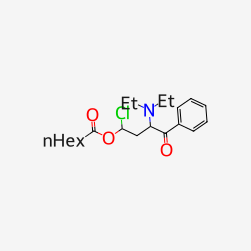 CCCCCCC(=O)OC(Cl)CC(C(=O)c1ccccc1)N(CC)CC